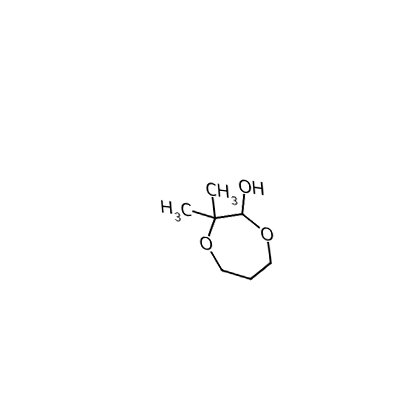 CC1(C)OCCCOC1O